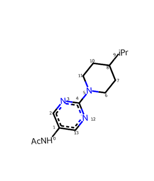 CC(=O)Nc1cnc(N2CCC(C(C)C)CC2)nc1